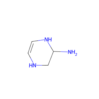 NC1CNC=CN1